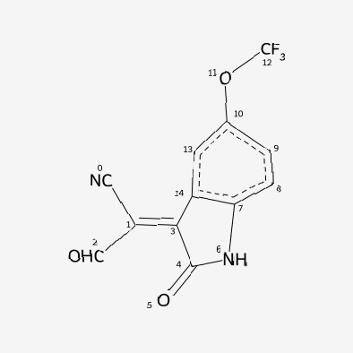 N#C/C(C=O)=C1/C(=O)Nc2ccc(OC(F)(F)F)cc21